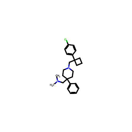 CN(C)CC1(c2ccccc2)CCN(CC2(c3ccc(Cl)cc3)CCC2)CC1